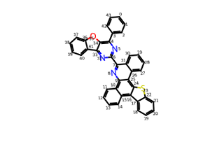 c1ccc(-c2nc(-c3nc4c5ccccc5c5c6ccccc6sc5c4c4ccccc34)nc3c2oc2ccccc23)cc1